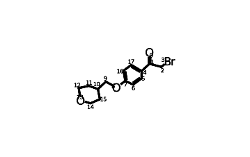 O=C(CBr)c1ccc(OCC2CCOCC2)cc1